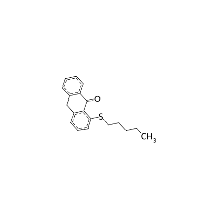 CCCCCSc1cccc2c1C(=O)c1ccccc1C2